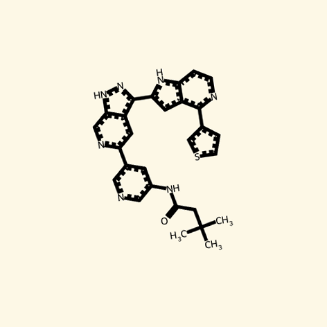 CC(C)(C)CC(=O)Nc1cncc(-c2cc3c(-c4cc5c(-c6ccsc6)nccc5[nH]4)n[nH]c3cn2)c1